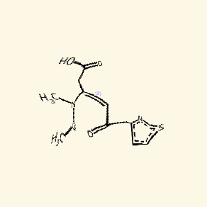 CON(C)/C(=C\C(=O)c1ccsn1)C(=O)O